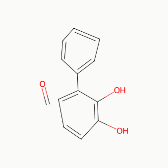 C=O.Oc1cccc(-c2ccccc2)c1O